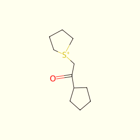 O=C(C[S+]1CCCC1)C1CCCC1